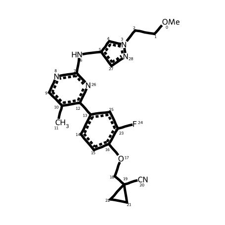 COCCn1cc(Nc2ncc(C)c(-c3ccc(OCC4(C#N)CC4)c(F)c3)n2)cn1